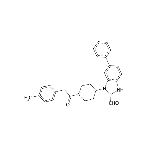 O=CC1Nc2ccc(-c3ccccc3)cc2N1C1CCN(C(=O)Cc2ccc(C(F)(F)F)cc2)CC1